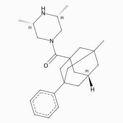 C[C@@H]1CN(C(=O)C23C[C@@H]4CC(C)(C2)CC(c2ccccc2)(C4)C3)C[C@H](C)N1